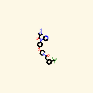 O=C(Cc1cccc(C(F)(F)F)c1)N1CCC(Oc2ccc(N(C(=O)C3CNC3)c3ccnnc3)cc2)CC1